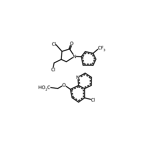 O=C(O)COc1ccc(Cl)c2cccnc12.O=C1C(Cl)C(CCl)CN1c1cccc(C(F)(F)F)c1